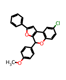 COc1ccc(C2Oc3ccc(Cl)cc3-c3cc(-c4ccccc4)oc32)cc1